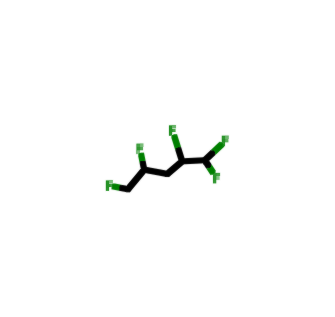 FCC(F)CC(F)[C](F)F